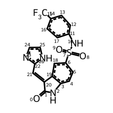 O=C1Nc2ccc(S(=O)(=O)Nc3ccc(C(F)(F)F)cc3)cc2C1=Cc1ncc[nH]1